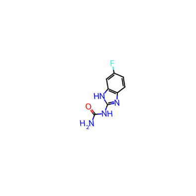 NC(=O)Nc1nc2ccc(F)cc2[nH]1